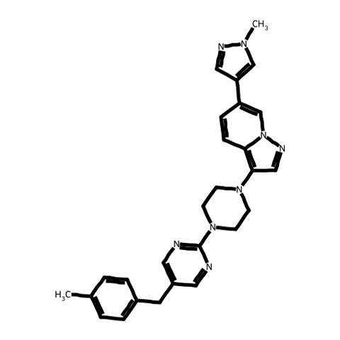 Cc1ccc(Cc2cnc(N3CCN(c4cnn5cc(-c6cnn(C)c6)ccc45)CC3)nc2)cc1